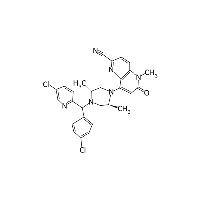 C[C@@H]1CN(c2cc(=O)n(C)c3ccc(C#N)nc23)[C@@H](C)CN1C(c1ccc(Cl)cc1)c1ccc(Cl)cn1